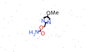 COc1cnc(COC(N)=O)nc1